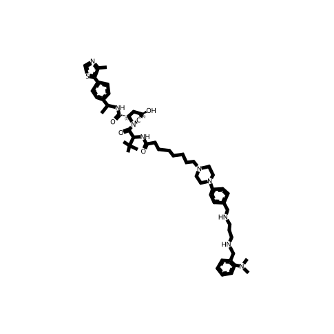 Cc1ncsc1-c1ccc(C(C)NC(=O)[C@@H]2C[C@@H](O)CN2C(=O)C(NC(=O)CCCCCCCN2CCN(c3ccc(CNCCCNCc4ccccc4N(C)C)cc3)CC2)C(C)(C)C)cc1